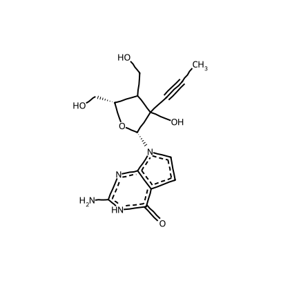 CC#CC1(O)C(CO)[C@@H](CO)O[C@H]1n1ccc2c(=O)[nH]c(N)nc21